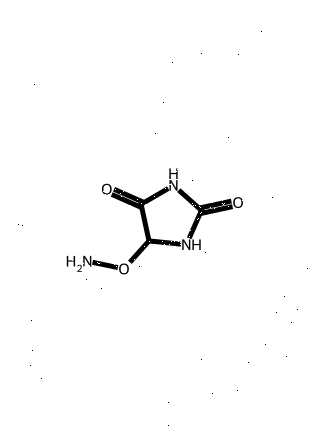 NOC1NC(=O)NC1=O